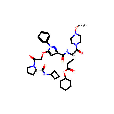 CCOC(=O)ON1CCN(C(=O)[C@H](CCC(=O)OC2CCCCC2)NC(=O)c2cc(OCC(=O)N3CCC[C@H]3C(=O)NC3CCC3)n(-c3ccccc3)n2)CC1